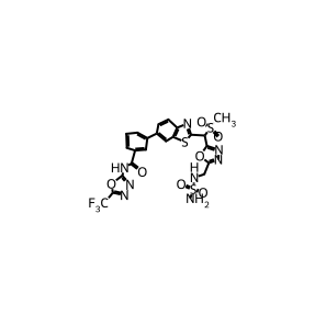 CS(=O)(=O)C(c1nnc(CNS(N)(=O)=O)o1)c1nc2ccc(-c3cccc(C(=O)Nc4nnc(C(F)(F)F)o4)c3)cc2s1